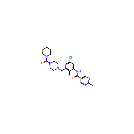 Cc1ncc(C(=O)Nc2cc(Cl)cc(CN3CCN(C(=O)N4CCCCC4)[C@@H](C)C3)c2C)cn1